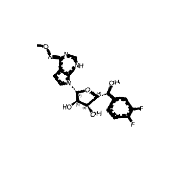 CON=c1nc[nH]c2c1ccn2[C@@H]1O[C@H](C(O)c2ccc(F)c(F)c2)[C@@H](O)[C@H]1O